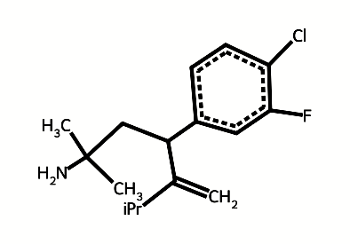 C=C(C(C)C)C(CC(C)(C)N)c1ccc(Cl)c(F)c1